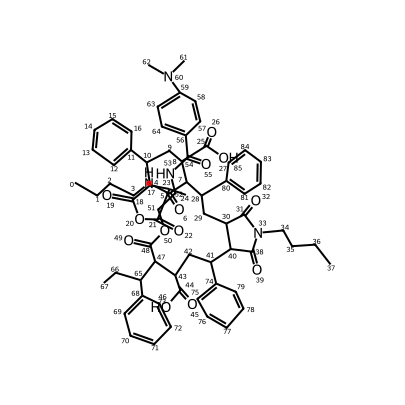 CCCCNC(=O)C(C(CC(c1ccccc1)C1C(=O)OC(=O)C1C)C(=O)O)C(CC1C(=O)N(CCCC)C(=O)C1C(CC(C(=O)O)C(C(=O)OCCNC(=O)c1ccc(N(C)C)cc1)C(CC)c1ccccc1)c1ccccc1)c1ccccc1